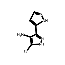 CCc1[nH]nc(-c2ccn[nH]2)c1N